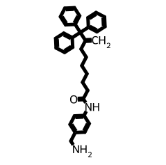 C=C(CCCCCCC(=O)Nc1ccc(CN)cc1)C(c1ccccc1)(c1ccccc1)c1ccccc1